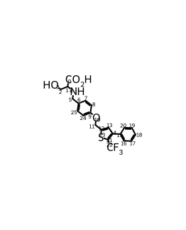 O=C(O)C(CO)NCc1ccc(OCc2cc(-c3ccccc3)c(C(F)(F)F)s2)cc1